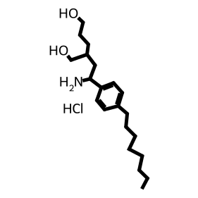 CCCCCCCCc1ccc(C(N)CC(CO)CCCO)cc1.Cl